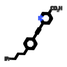 CC(C)CCCc1ccc(C#Cc2ccc(C(=O)O)cn2)cc1